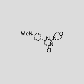 CNc1ccc(-c2cc(Cl)nc(N3CCOCC3)n2)cc1